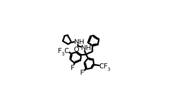 O=C(NC1CCCC1)NC(Cc1ccccc1)(c1cc(F)cc(C(F)(F)F)c1)c1cc(F)cc(C(F)(F)F)c1